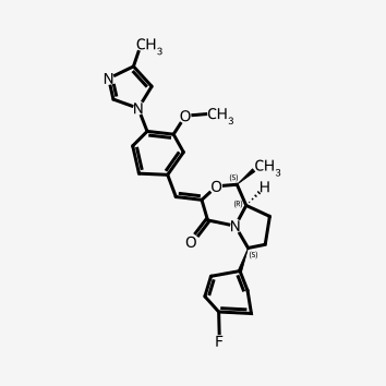 COc1cc(C=C2O[C@@H](C)[C@H]3CC[C@@H](c4ccc(F)cc4)N3C2=O)ccc1-n1cnc(C)c1